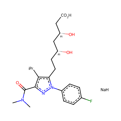 CC(C)c1c(C(=O)N(C)C)nn(-c2ccc(F)cc2)c1CC[C@@H](O)C[C@@H](O)CC(=O)O.[NaH]